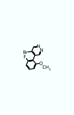 COc1cccc(F)c1-c1cnncc1Br